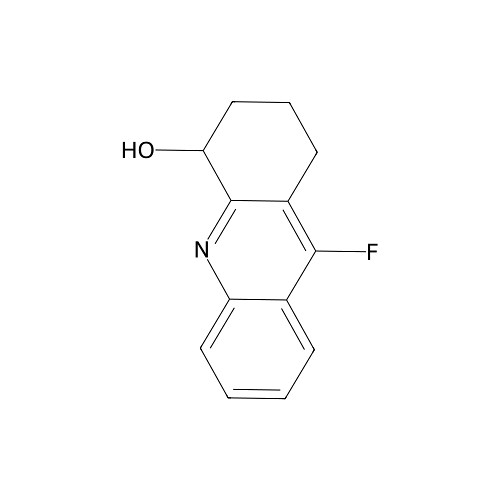 OC1CCCc2c1nc1ccccc1c2F